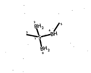 BS(B)(C)BC